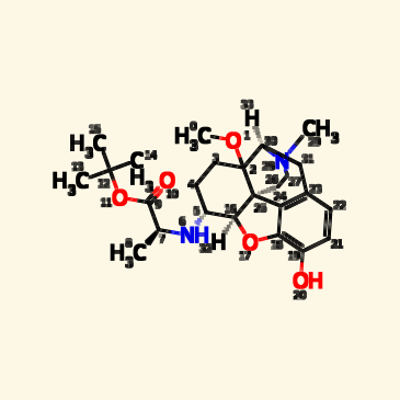 COC12CC[C@@H](N[C@@H](C)C(=O)OC(C)(C)C)[C@@H]3Oc4c(O)ccc5c4[C@@]31CCN(C)[C@@H]2C5